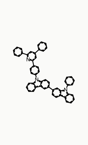 c1ccc(-c2cc(-c3ccccc3)nc(-c3ccc(-n4c5ccccc5c5cc(-c6ccc7c8ccccc8n(-c8ccccc8)c7c6)ccc54)cc3)c2)cc1